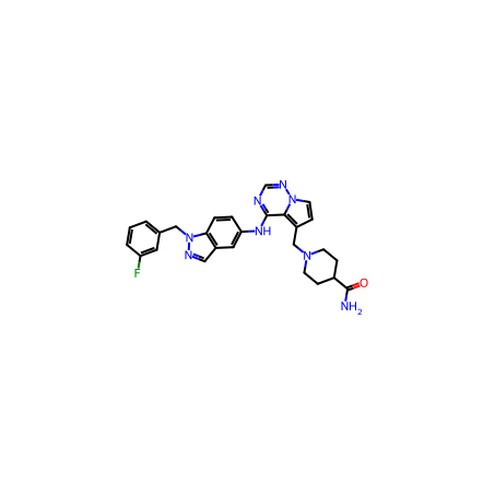 NC(=O)C1CCN(Cc2ccn3ncnc(Nc4ccc5c(cnn5Cc5cccc(F)c5)c4)c23)CC1